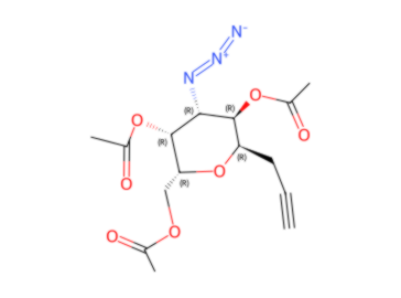 C#CC[C@H]1O[C@H](COC(C)=O)[C@H](OC(C)=O)[C@H](N=[N+]=[N-])[C@H]1OC(C)=O